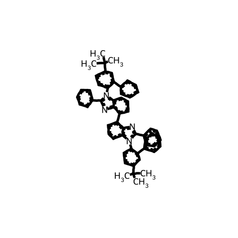 CC(C)(C)c1ccc(-n2c(-c3ccccc3)nc3c(-c4cccc5c4nc(-c4ccccc4)n5-c4ccc(C(C)(C)C)cc4-c4ccccc4)cccc32)c(-c2ccccc2)c1